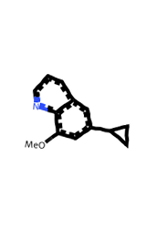 COc1cc(C2CC2)cc2cccnc12